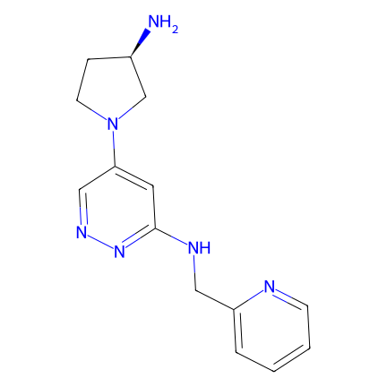 N[C@@H]1CCN(c2cnnc(NCc3ccccn3)c2)C1